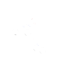 Cc1cccc(Cn2c(C3CCCC[C@@H]3C(=O)O)nc3cc(OCc4ccc5ccccc5n4)ccc32)c1